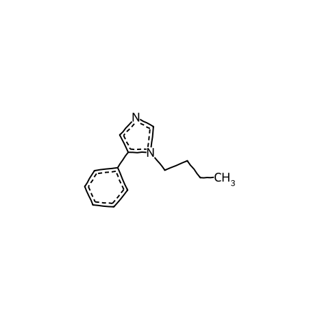 CCCCn1cncc1-c1ccccc1